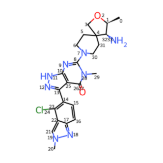 C[C@@H]1OCC2(CCN(c3nc4[nH]nc(-c5ccc6nn(C)cc6c5Cl)c4c(=O)n3C)CC2)[C@@H]1N